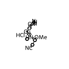 COc1ccc(-c2ccc(C#N)cc2)cc1CN[C@H]1CCN(C(=O)C2CCN(C(=O)Cn3cnnn3)CC2)C[C@H]1c1ccccc1.Cl